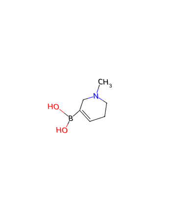 CN1CCC=C(B(O)O)C1